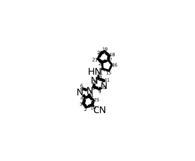 N#Cc1ccc2ncn(-c3cncc(N[C@H]4CCc5ccccc54)n3)c2c1